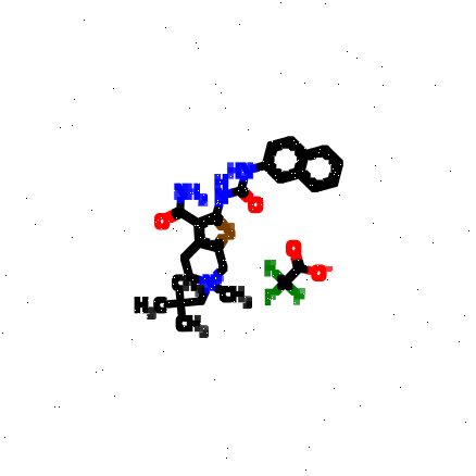 CC(C)(C)C[N+]1(C)CCc2c(sc(NC(=O)Nc3ccc4ccccc4c3)c2C(N)=O)C1.O=C([O-])C(F)(F)F